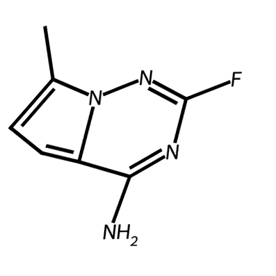 Cc1ccc2c(N)nc(F)nn12